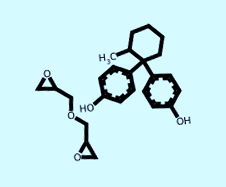 C(OCC1CO1)C1CO1.CC1CCCCC1(c1ccc(O)cc1)c1ccc(O)cc1